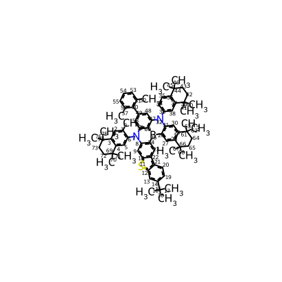 Cc1cc2c(cc1N1c3cc4sc5cc(C(C)(C)C)ccc5c4cc3B3c4cc5c(cc4N(c4ccc6c(c4)C(C)(C)CCC6(C)C)c4cc(-c6c(C)cccc6C)cc1c43)C(C)(C)CCC5(C)C)C(C)(C)CCC2(C)C